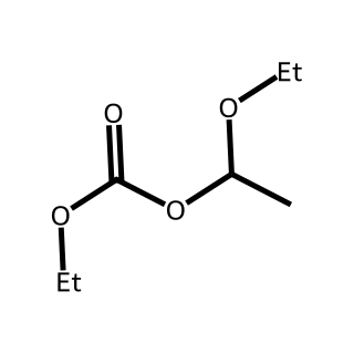 CCOC(=O)OC(C)OCC